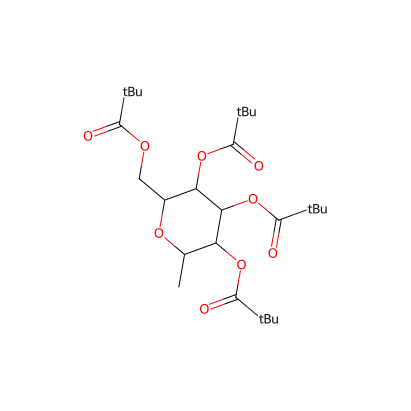 CC1OC(COC(=O)C(C)(C)C)C(OC(=O)C(C)(C)C)C(OC(=O)C(C)(C)C)C1OC(=O)C(C)(C)C